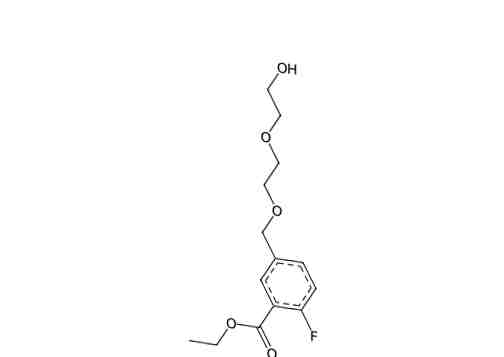 CCOC(=O)c1cc(COCCOCCO)ccc1F